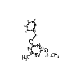 Cc1nc(OCc2ccccc2)nc(OCC(F)(F)F)n1